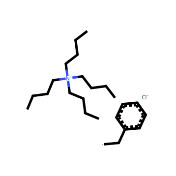 CCCC[N+](CCCC)(CCCC)CCCC.[CH2]Cc1ccccc1.[Cl-]